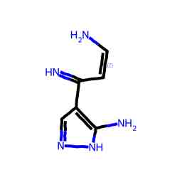 N=C(/C=C\N)c1cn[nH]c1N